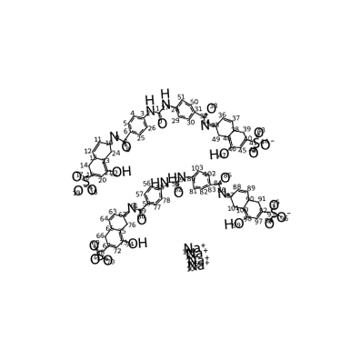 O=C(Nc1ccc(C(=O)N=C2C=CC3CC(S(=O)(=O)[O-])=CC(O)=C3C2)cc1)Nc1ccc(C(=O)N=C2C=CC3CC(S(=O)(=O)[O-])=CC(O)=C3C2)cc1.O=C(Nc1ccc(C(=O)N=C2C=CC3CC(S(=O)(=O)[O-])=CC(O)=C3C2)cc1)Nc1ccc(C(=O)N=C2C=CC3CC(S(=O)(=O)[O-])=CC(O)=C3C2)cc1.[Na+].[Na+].[Na+].[Na+]